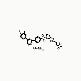 Cc1cc(-c2ccnc(-c3ccc(S(=O)(=O)N4CCC(CNCCS(C)(=O)=O)C4)cc3)n2)ccc1F.NN